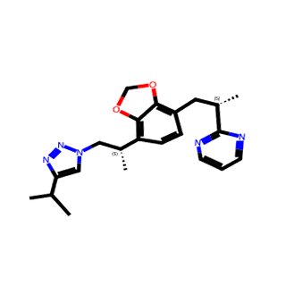 CC(C)c1cn(C[C@@H](C)c2ccc(C[C@H](C)c3ncccn3)c3c2OCO3)nn1